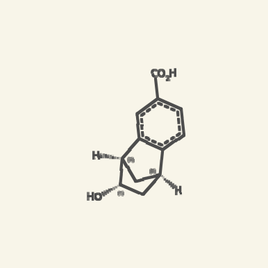 O=C(O)c1ccc2c(c1)[C@H]1C[C@@H]2C[C@@H]1O